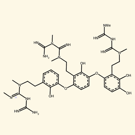 C/N=C(/NC(=N)N)N(C)CCc1cccc(Oc2ccc(Oc3ccc(O)c(O)c3CCN(C)C(=N)NC(=N)NC)c(O)c2CCN(C)C(=N)N(C)C(=N)N)c1O